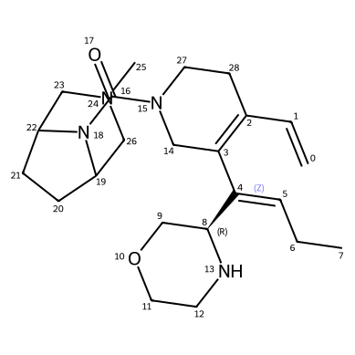 C=CC1=C(/C(=C/CC)[C@@H]2COCCN2)CN(C(=O)N2C3CCC2CN(C)C3)CC1